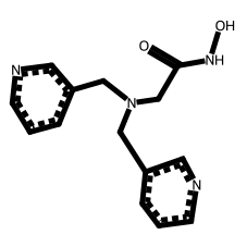 O=C(CN(Cc1cccnc1)Cc1cccnc1)NO